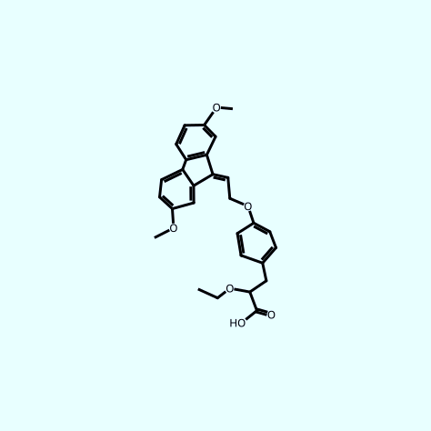 CCOC(Cc1ccc(OCC=C2c3cc(OC)ccc3-c3ccc(OC)cc32)cc1)C(=O)O